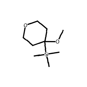 COC1([Si](C)(C)C)CCOCC1